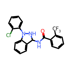 O=C(NC1NN(c2ccccc2Cl)c2ccccc21)c1ccccc1C(F)(F)F